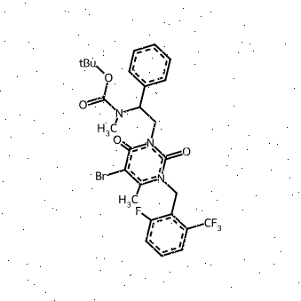 Cc1c(Br)c(=O)n(CC(c2ccccc2)N(C)C(=O)OC(C)(C)C)c(=O)n1Cc1c(F)cccc1C(F)(F)F